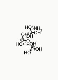 N.OB(O)O.OB(O)O.OB(O)O